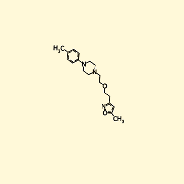 Cc1ccc(N2CCN(CCOCCc3cc(C)on3)CC2)cc1